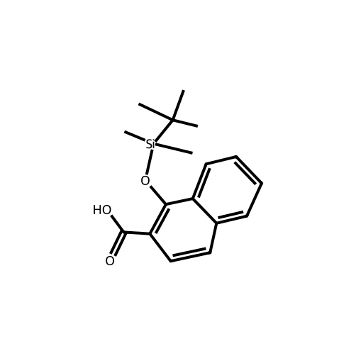 CC(C)(C)[Si](C)(C)Oc1c(C(=O)O)ccc2ccccc12